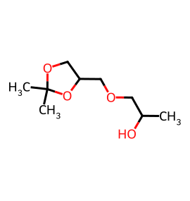 CC(O)COCC1COC(C)(C)O1